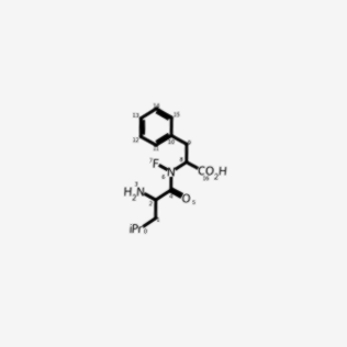 CC(C)CC(N)C(=O)N(F)C(Cc1ccccc1)C(=O)O